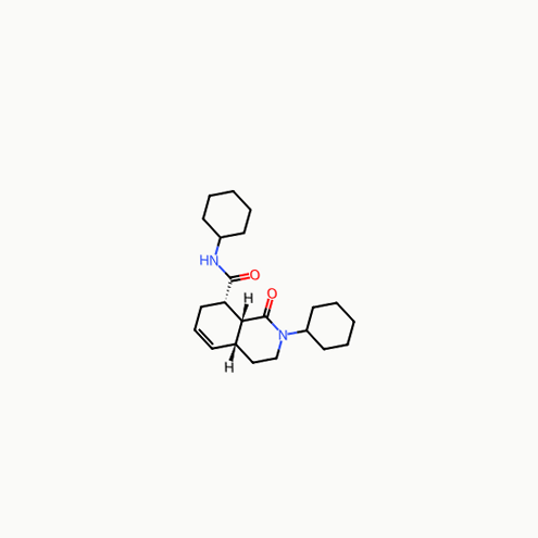 O=C(NC1CCCCC1)[C@H]1CC=C[C@H]2CCN(C3CCCCC3)C(=O)[C@@H]12